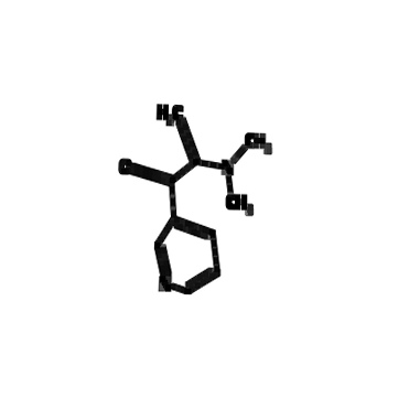 C=C(C(=O)c1cccnc1)N(C)C